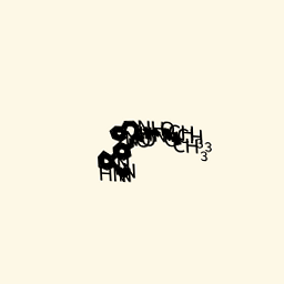 CC(C)(C)OC(=O)NCC(=O)NC1CCc2ccccc2N(Cc2ccc(-c3ccccc3-c3nnn[nH]3)cc2)C1=O